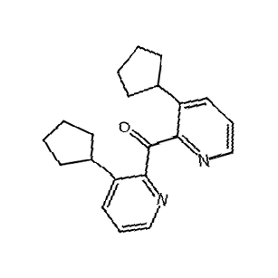 O=C(c1ncccc1C1CCCC1)c1ncccc1C1CCCC1